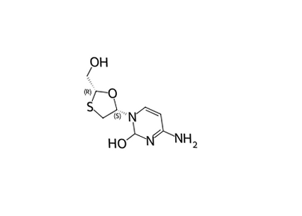 NC1=NC(O)N([C@@H]2CS[C@H](CO)O2)C=C1